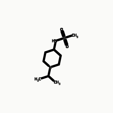 CC(C)N1CCC(NS(C)(=O)=O)CC1